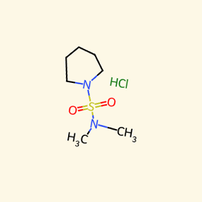 CN(C)S(=O)(=O)N1CCCCC1.Cl